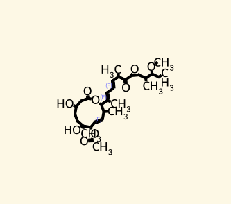 CCC(OC)C(C)C1OC1C(=O)C(C)/C=C/C=C(\C)C1OC(=O)CC(O)CCC(C)(O)C(OC(C)=O)/C=C/C1C